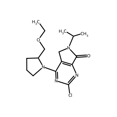 CCOCC1CCCN1c1nc(Cl)nc2c1CN(C(C)C)C2=O